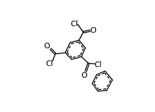 O=C(Cl)c1cc(C(=O)Cl)cc(C(=O)Cl)c1.c1ccccc1